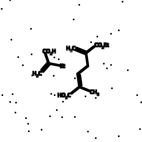 C=C(CC)C(=O)O.C=C(CC=C(C)C(=O)O)C(=O)OCC